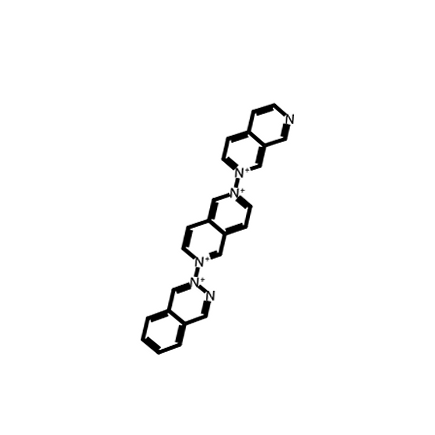 c1ccc2c[n+](-[n+]3ccc4c[n+](-[n+]5ccc6ccncc6c5)ccc4c3)ncc2c1